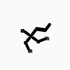 CC=C[Si](Cl)(OCC)OCC